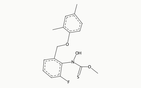 COC(=S)N(O)c1c(F)cccc1COc1ccc(C)cc1C